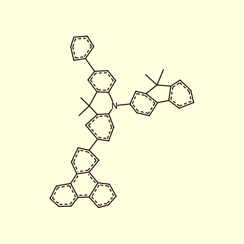 CC1(C)c2ccccc2-c2ccc(N3c4ccc(-c5ccccc5)cc4C(C)(C)c4cc(-c5ccc6c7ccccc7c7ccccc7c6c5)ccc43)cc21